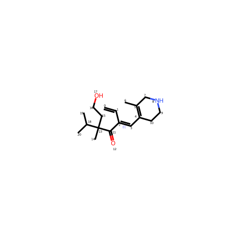 C=C/C(=C\C1=C(C)CNCC1)C(=O)C(C)(CCO)C(C)C